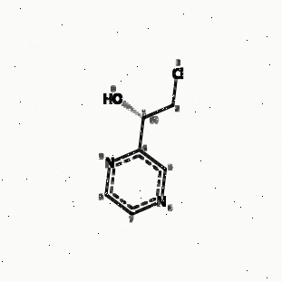 O[C@H](CCl)c1cnccn1